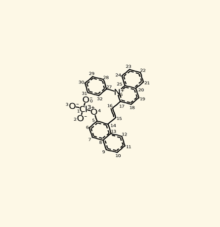 [O-][Cl+3]([O-])([O-])Oc1ccc2ccccc2c1C=Cc1ccc2ccccc2[n+]1-c1ccccc1